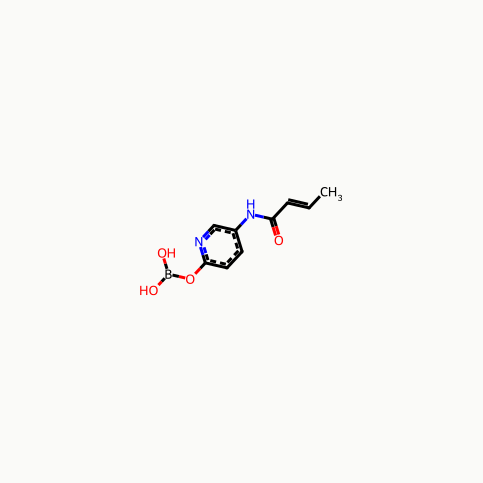 CC=CC(=O)Nc1ccc(OB(O)O)nc1